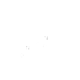 CC(C)C1CCN(C(=O)/C=C/CN2CCOCC2)CC1